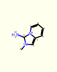 CN1C=C2C=CC=CN2C1N